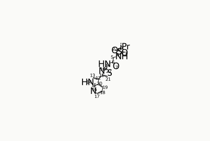 CC(C)S(=O)(=O)NCC(=O)Nc1nc(-c2c[nH]c3ncccc23)cs1